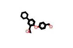 O=Cc1ccc(Oc2ccc(C3CCCCC3)cc2C2CO2)cc1